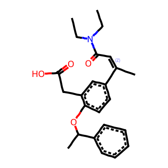 CCN(CC)C(=O)/C=C(/C)c1ccc(OC(C)c2ccccc2)c(CC(=O)O)c1